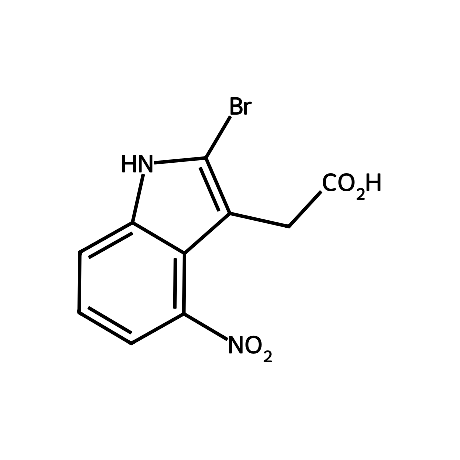 O=C(O)Cc1c(Br)[nH]c2cccc([N+](=O)[O-])c12